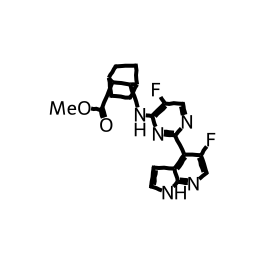 COC(=O)C1C2CCC(CC2)C1Nc1nc(-c2c(F)cnc3[nH]ccc23)ncc1F